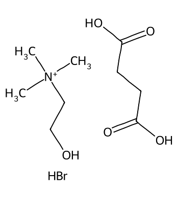 Br.C[N+](C)(C)CCO.O=C(O)CCC(=O)O